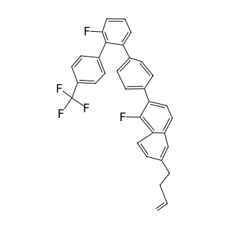 C=CCCc1ccc2c(F)c(-c3ccc(-c4cccc(F)c4-c4ccc(C(F)(F)F)cc4)cc3)ccc2c1